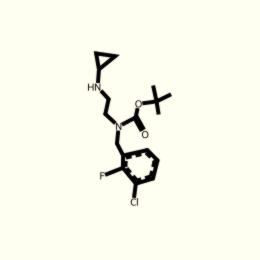 CC(C)(C)OC(=O)N(CCNC1CC1)Cc1cccc(Cl)c1F